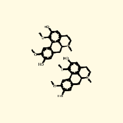 COc1cc2c(cc1O)CC1c3c(cc(O)c(OC)c3-2)CCN1C.COc1cc2c(cc1O)CC1c3c(cc(O)c(OC)c3-2)CCN1C